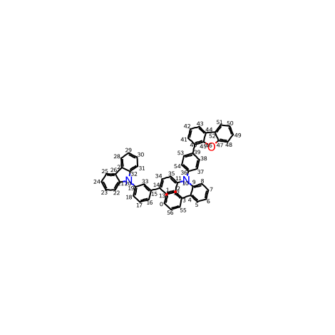 c1ccc(-c2ccccc2N(c2ccc(-c3cccc(-n4c5ccccc5c5ccccc54)c3)cc2)c2ccc(-c3cccc4c3oc3ccccc34)cc2)cc1